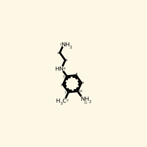 Cc1cc(NCCN)ccc1N